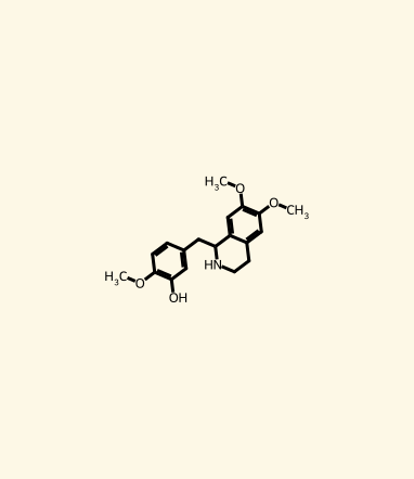 COc1ccc(CC2NCCc3cc(OC)c(OC)cc32)cc1O